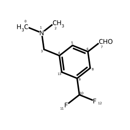 CN(C)Cc1cc(C=O)cc(C(F)F)c1